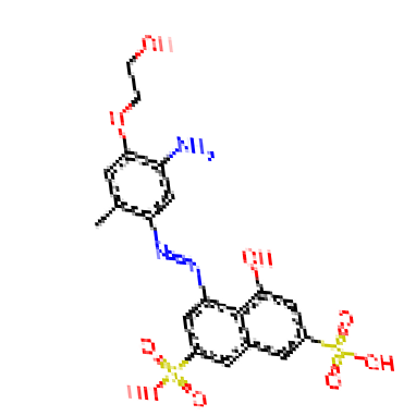 Cc1cc(OCCO)c(N)cc1N=Nc1cc(S(=O)(=O)O)cc2cc(S(=O)(=O)O)cc(O)c12